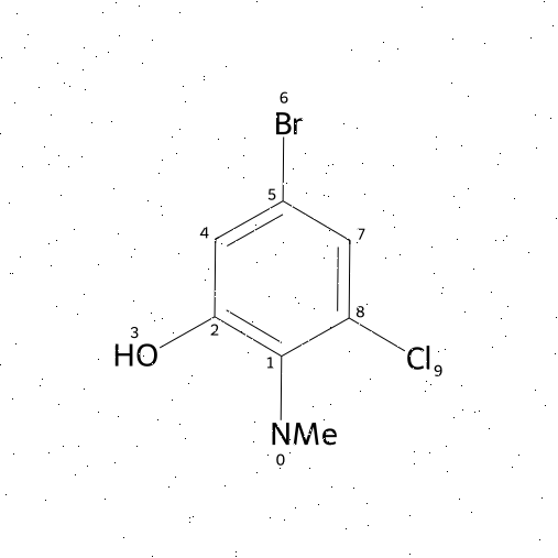 CNc1c(O)cc(Br)cc1Cl